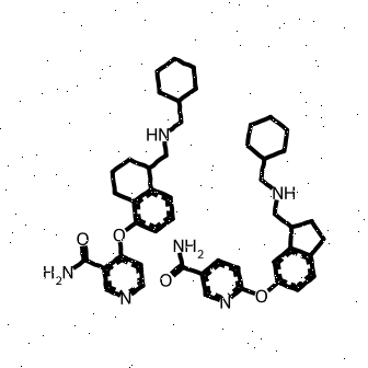 NC(=O)c1ccc(Oc2ccc3c(c2)C(CNCC2CCCCC2)CC3)nc1.NC(=O)c1cnccc1Oc1cccc2c1CCCC2CNCC1CCCCC1